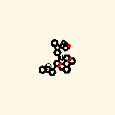 c1ccc(-c2cccc3cccc(-c4ccccc4N(c4ccc(-c5cccc6c5oc5ccccc56)cc4)c4ccc5c(c4)C4(c6ccccc6-5)C5CC6CC7CC4C75C6)c23)cc1